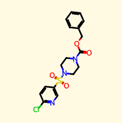 O=C(OCc1ccccc1)N1CCN(S(=O)(=O)c2ccc(Cl)nc2)CC1